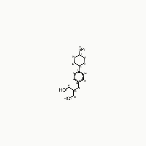 CCCC1CCC(c2ccc(CC(CO)CO)cc2)CC1